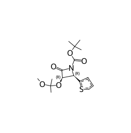 COC(C)(C)O[C@H]1C(=O)N(C(=O)OC(C)(C)C)[C@H]1c1cccs1